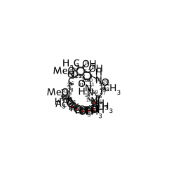 COc1c(C)c(O)c2c(O)c3c(/C=N/N4CCN(C)CC4)c(O)c2c1C(=O)C/C=C/[C@H](OC)[C@@H](C)[C@@H](OC(C)=O)[C@H](C)[C@H](O)[C@H](C)[C@@H](O)[C@@H](C)/C=C/C=C(/C)C(=O)N3